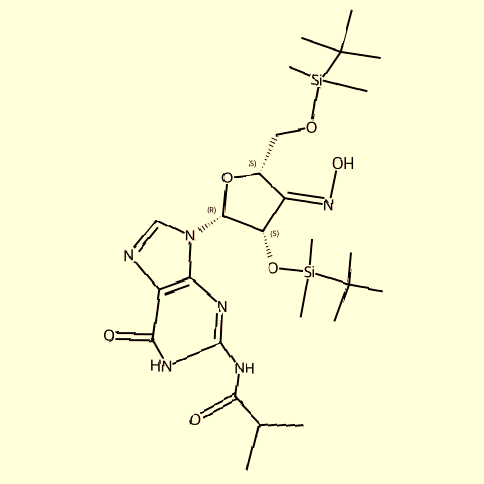 CC(C)C(=O)Nc1nc2c(ncn2[C@@H]2O[C@H](CO[Si](C)(C)C(C)(C)C)C(=NO)[C@@H]2O[Si](C)(C)C(C)(C)C)c(=O)[nH]1